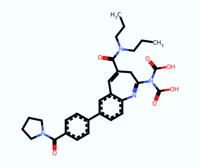 CCCN(CCC)C(=O)C1=Cc2cc(-c3ccc(C(=O)N4CCCC4)cc3)ccc2N=C(N(C(=O)O)C(=O)O)C1